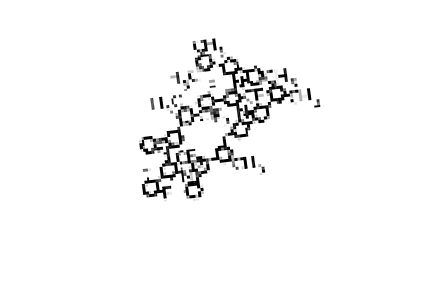 Cc1cc(C)cc(-c2ccc3c(c2)c2ccccc2n3-c2cc(-c3c(F)cccc3F)cc(-n3c4ccccc4c4cc(-c5cc(C)cc(Cc6ccc7c8ccc(-c9cc(C)cc(C)c9)cc8n(-c8cc(-c9c(F)cccc9F)cc(-n9c%10ccccc%10c%10ccc(-c%11cc(C)cc(C)c%11)cc%109)c8C(F)(F)F)c7c6)c5)ccc43)c2C(F)(F)F)c1